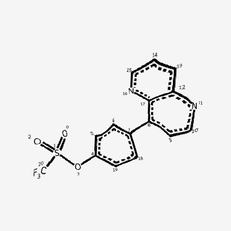 O=S(=O)(Oc1ccc(-c2ccnc3cccnc23)cc1)C(F)(F)F